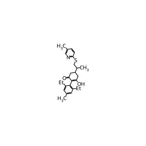 CCc1cc(C)cc(CC)c1C1=C(O)CC(C(C)CSc2ccc(C)cn2)CC1=O